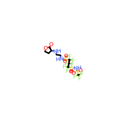 O=C1OCCC1NCCNS(=O)(=O)C(F)(F)C(F)(F)C(F)(F)S(=O)(=O)NS(=O)(=O)C(F)(F)F